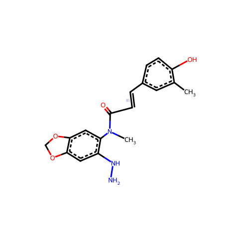 Cc1cc(/C=C/C(=O)N(C)c2cc3c(cc2NN)OCO3)ccc1O